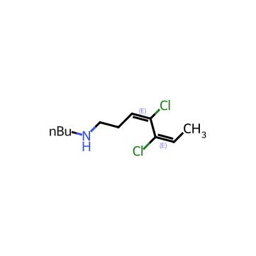 C/C=C(Cl)\C(Cl)=C/CCNCCCC